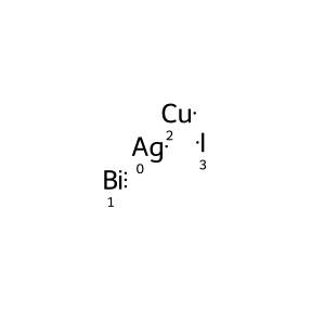 [Ag].[Bi].[Cu].[I]